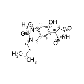 CC(C)CCN1Cc2cc(C3CC(=O)N[S+]3[O-])c(O)cc2N(C)C1=O